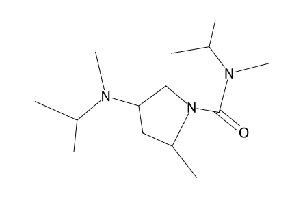 CC(C)N(C)C(=O)N1CC(N(C)C(C)C)CC1C